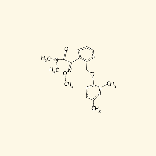 CON=C(C(=O)N(C)C)c1ccccc1COc1ccc(C)cc1C